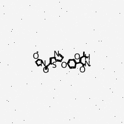 CNC(=O)c1c(C(C)C)oc2cc(Oc3ccnc4cc(C(=O)N5CCC(OC)C5)sc34)ccc12